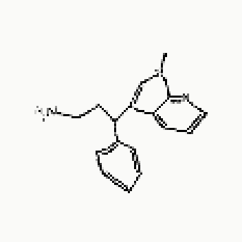 Cn1cc(C(CCN)c2ccccc2)c2cccnc21